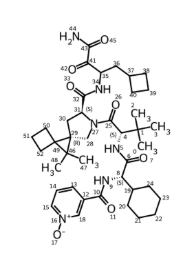 CC(C)(C)[C@H](NC(=O)[C@@H](NC(=O)c1ccc[n+]([O-])c1)C1CCCCC1)C(=O)N1C[C@]2(C[C@H]1C(=O)NC(CC1CCC1)C(=O)C(N)=O)C(C)(C)C21CCC1